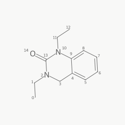 CCN1Cc2ccccc2N(CC)C1=O